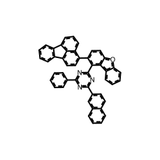 c1ccc(-c2nc(-c3ccc4ccccc4c3)nc(-c3c(-c4ccc5c6c(cccc46)-c4ccccc4-5)ccc4oc5ccccc5c34)n2)cc1